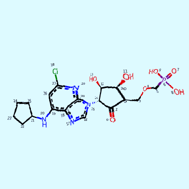 O=C1[C@H](COCP(=O)(O)O)[C@H](O)[C@H](O)[C@H]1n1cnc2c(NC3CCCC3)cc(Cl)nc21